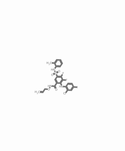 C=CCONC(=O)c1cc(S(=O)(=O)Nc2ccccc2C)c(F)c(F)c1Nc1ccc(I)cc1Cl